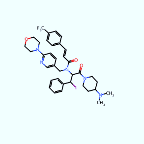 CN(C)C1CCN(C(=O)C(C(I)c2ccccc2)N(Cc2ccc(N3CCOCC3)nc2)C(=O)C=Cc2ccc(C(F)(F)F)cc2)CC1